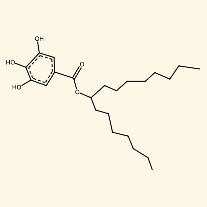 CCCCCCCCC(CCCCCCC)OC(=O)c1cc(O)c(O)c(O)c1